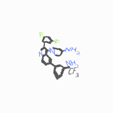 NC1CCN(c2c(-c3cc(F)cc(F)c3)cnc3ccc(-c4cccc(C(N)C(F)(F)F)c4)cc23)CC1